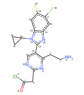 NCCc1nc(CC(=O)Cl)ncc1-c1nc2cc(F)c(F)cc2n1C1CC1